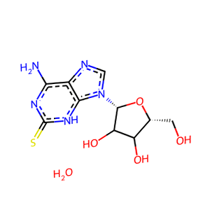 Nc1nc(=S)[nH]c2c1ncn2[C@@H]1O[C@H](CO)C(O)C1O.O